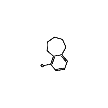 [O]c1cccc2c1CCCCC2